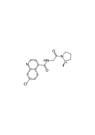 C[C@@H]1CCCN1C(=O)CNC(=O)c1ccnc2cc(Cl)ccc12